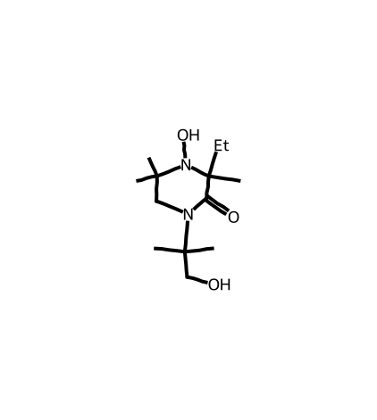 CCC1(C)C(=O)N(C(C)(C)CO)CC(C)(C)N1O